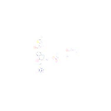 CC(C)(C)c1csc(NC(=O)c2ccn3c(=O)c(C=Cc4nn[nH]n4)c(N4CCC[C@@H](OC(=O)NCCC[N+](C)(C)CC(N)=O)C4)nc3c2)n1